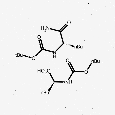 CCCCOC(=O)N[C@@H](CCCC)C(=O)O.CCCC[C@H](NC(=O)OC(C)(C)C)C(N)=O